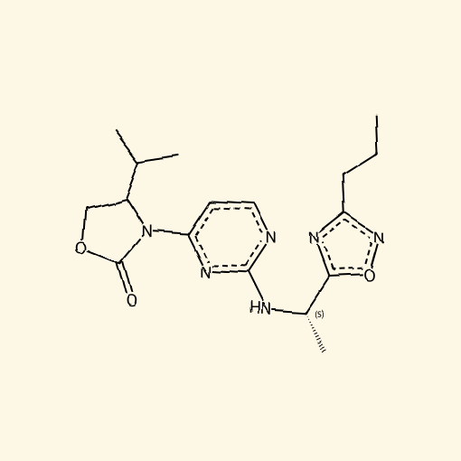 CCCc1noc([C@H](C)Nc2nccc(N3C(=O)OCC3C(C)C)n2)n1